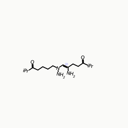 CC(C)C(=O)CCCCN(N)/C=C(\N)CCC(=O)C(C)C